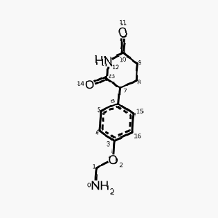 NCOc1ccc(C2CCC(=O)NC2=O)cc1